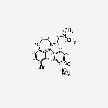 CN(C)CCN1CCOc2ccc(Br)cc2C1c1ccc(Cl)cc1.Cl.Cl